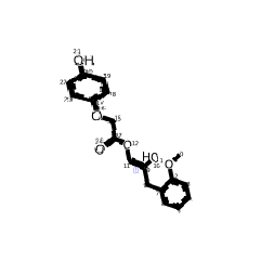 COc1ccccc1C/C(O)=C/OC(=O)COc1ccc(O)cc1